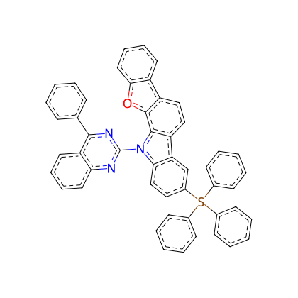 c1ccc(-c2nc(-n3c4ccc(S(c5ccccc5)(c5ccccc5)c5ccccc5)cc4c4ccc5c6ccccc6oc5c43)nc3ccccc23)cc1